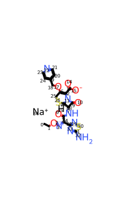 CCO/N=C(\C(=O)N[C@@H]1C(=O)N2C(C(=O)[O-])=C(OCc3ccncc3)CS[C@@H]12)c1nsc(N)n1.[Na+]